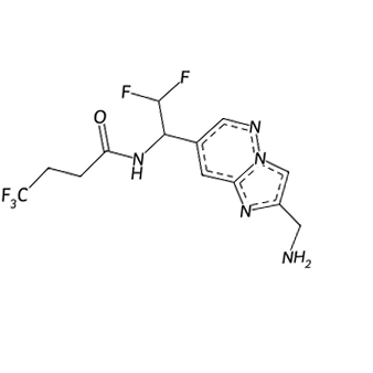 NCc1cn2ncc(C(NC(=O)CCC(F)(F)F)C(F)F)cc2n1